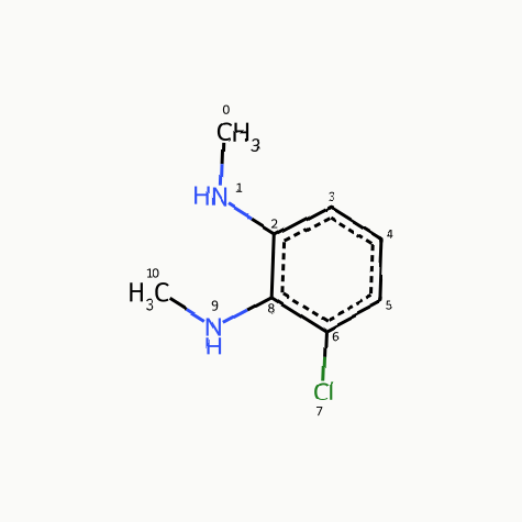 CNc1cccc(Cl)c1NC